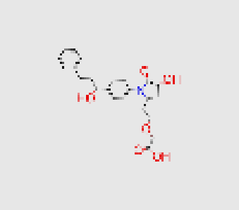 O=C(O)COCCC1CC(O)C(=O)N1c1ccc(C(O)CCc2ccccc2)cc1